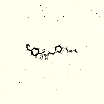 CC(C)Cc1ccc(S(=O)(=O)NCCN2CC[C@H](CN=[N+]=[N-])C2)cc1